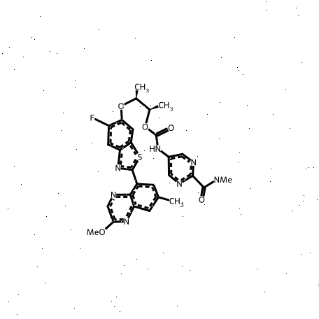 CNC(=O)c1ncc(NC(=O)O[C@H](C)[C@H](C)Oc2cc3sc(-c4cc(C)cc5nc(OC)cnc45)nc3cc2F)cn1